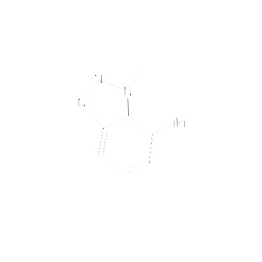 CC(C)c1cccc2nnn(C)c12